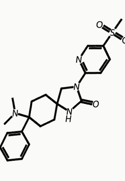 CN(C)C1(c2ccccc2)CCC2(CC1)CN(c1ccc(S(C)(=O)=O)cn1)C(=O)N2